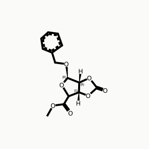 COC(=O)C1O[C@@H](OCc2ccccc2)[C@@H]2OC(=O)O[C@H]12